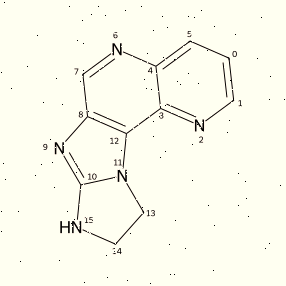 c1cnc2c(c1)ncc1nc3n(c12)CCN3